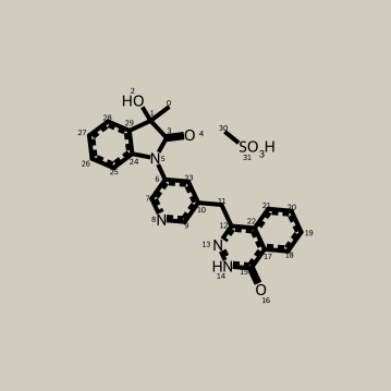 CC1(O)C(=O)N(c2cncc(Cc3n[nH]c(=O)c4ccccc34)c2)c2ccccc21.CS(=O)(=O)O